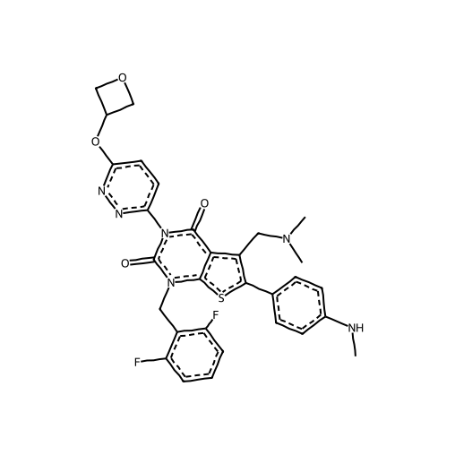 CNc1ccc(-c2sc3c(c2CN(C)C)c(=O)n(-c2ccc(OC4COC4)nn2)c(=O)n3Cc2c(F)cccc2F)cc1